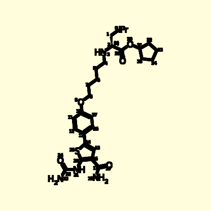 CC(C)C[C@@H](NCCCCCOc1ccc(-c2cc(C(N)=O)c(NC(N)=O)s2)cc1)C(=O)OC1CCCC1